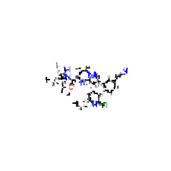 Cc1cc(-c2c(-c3cccc(C#N)c3)nn3ccc(C(=O)NC(C)(C)C)nc23)cc(Cl)n1